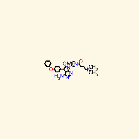 COc1c(-c2ccc(Oc3ccccc3)cc2)c2c(N)ncnc2n1[C@@H]1CCN(C(=O)C=CCN(C)C)C1